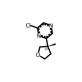 C[C@@]1(c2cncc(Cl)n2)CCOC1